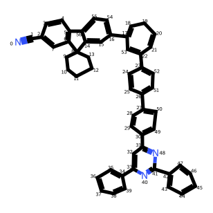 N#Cc1ccc2c(c1)C1(CCCCC1)c1cc(C3=CCC=CC(c4ccc(-c5ccc(-c6cc(-c7ccccc7)nc(-c7ccccc7)n6)cc5)cc4)=C3)ccc1-2